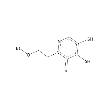 CCOCCn1ncc(S)c(S)c1=S